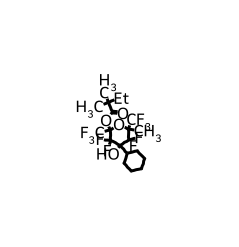 CCC(C)(C)C(=O)OC1(C(F)(F)F)OC(C)(C(F)(F)F)C(F)(F)C(O)(C2CCCCC2)C1(F)F